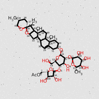 CC(=O)OC[C@@H]1OC(O[C@H]2[C@H](O)[C@@H](OC3O[C@@H](C)[C@H](O)[C@@H](O)[C@H]3O)[C@H](O[C@H]3CC[C@@]4(C)C(=CCC5C6CC7O[C@]8(CC[C@@H](C)CO8)[C@@H](C)C7[C@@]6(C)CCC54)C3)O[C@@H]2CO)[C@H](O)[C@H]1O